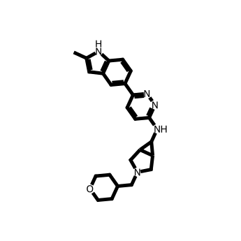 Cc1cc2cc(-c3ccc(NC4C5CN(CC6CCOCC6)CC54)nn3)ccc2[nH]1